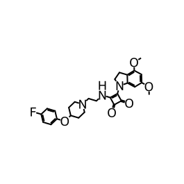 COc1cc(OC)c2c(c1)N(c1c(NCCN3CCC(Oc4ccc(F)cc4)CC3)c(=O)c1=O)CC2